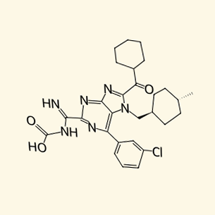 C[C@H]1CC[C@H](Cn2c(C(=O)C3CCCCC3)nc3nc(C(=N)NC(=O)O)nc(-c4cccc(Cl)c4)c32)CC1